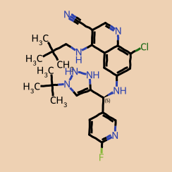 CC(C)(C)CNc1c(C#N)cnc2c(Cl)cc(N[C@H](C3=CN(C(C)(C)C)NN3)c3ccc(F)nc3)cc12